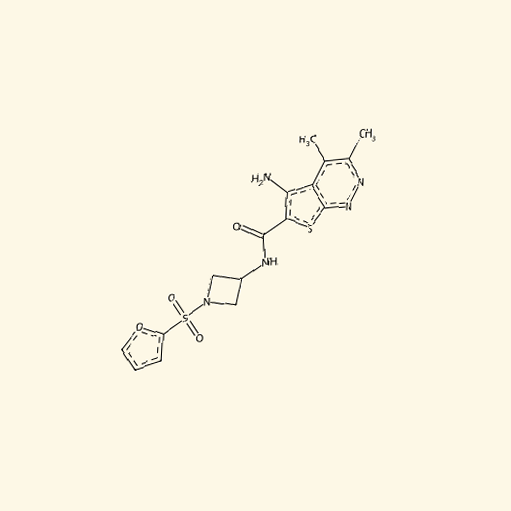 Cc1nnc2sc(C(=O)NC3CN(S(=O)(=O)c4ccco4)C3)c(N)c2c1C